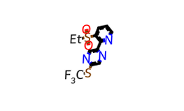 CCS(=O)(=O)c1cccnc1-c1cnc(SC(F)(F)F)cn1